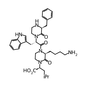 CC(C)C[C@@H](C(=O)O)N1CCN(C(=O)[C@H](Cc2c[nH]c3ccccc23)N2CCN[C@@H](Cc3ccccc3)C2=O)[C@@H](CCCCN)C1=O